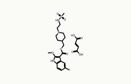 COc1[nH]c2ccc(F)cc2c1C(=O)OCC1CCN(CCNS(C)(=O)=O)CC1.O=C(O)C=CC(=O)O